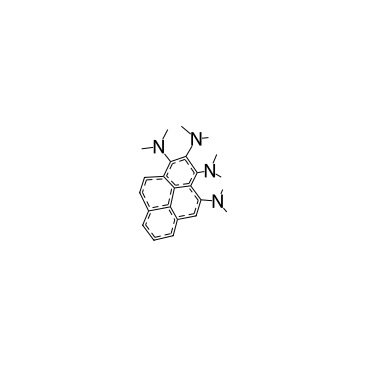 CN(C)c1c(N(C)C)c2ccc3cccc4cc(N(C)C)c(c1N(C)C)c2c34